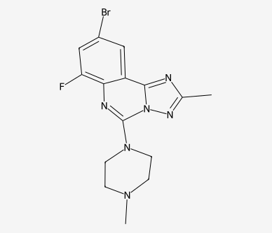 Cc1nc2c3cc(Br)cc(F)c3nc(N3CCN(C)CC3)n2n1